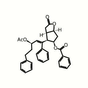 CC(=O)O[C@@H](C=C(c1ccccc1)[C@H]1[C@H]2CC(=O)O[C@H]2C[C@H]1OC(=O)c1ccccc1)CCc1ccccc1